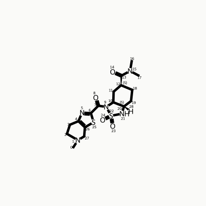 CN1CCc2nc(C(=O)N3C4C[C@@H](C(=O)N(C)C)CC[C@@H]4NS3(=O)=O)sc2C1